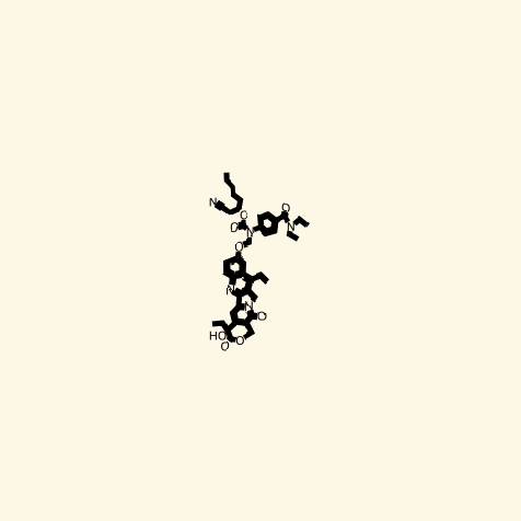 CCCCCC(CC#N)OC(=O)N(COc1ccc2nc3c(c(CC)c2c1)Cn1c-3cc2c(c1=O)COC(=O)C2(O)CC)c1ccc(C(=O)N(CC)CC)cc1